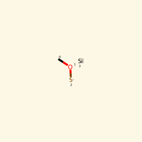 CO[S].[Si]